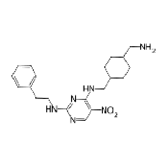 NCC1CCC(CNc2nc(NCCc3ccccc3)ncc2[N+](=O)[O-])CC1